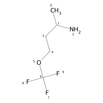 CC(N)CCOC(F)(F)F